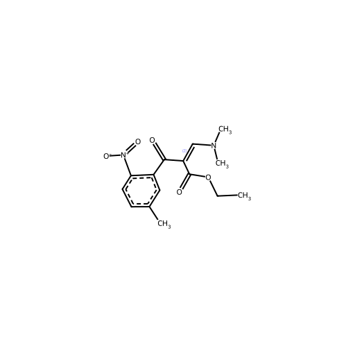 CCOC(=O)/C(=C\N(C)C)C(=O)c1cc(C)ccc1[N+](=O)[O-]